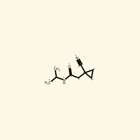 CC(C)NC(=O)CC1(C#N)CC1